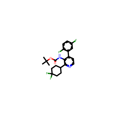 CC(C)(C)OC(=O)Nc1c(-c2cc(F)ccc2F)ccnc1C1CCC(F)(F)CC1